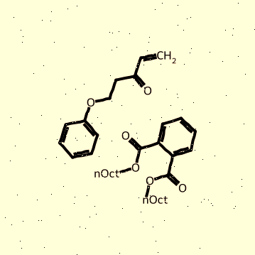 C=CC(=O)CCOc1ccccc1.CCCCCCCCOC(=O)c1ccccc1C(=O)OCCCCCCCC